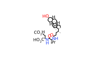 CC(C)[C@H](NC(=O)CC[C@@H](C)[C@H]1CC[C@H]2[C@@H]3CC[C@@H]4C[C@H](O)CC[C@]4(C)[C@H]3CC[C@]12C)C(=O)N[C@@H](CCC(=O)O)C(=O)O